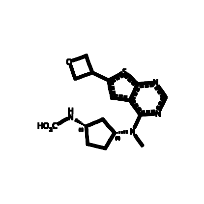 CN(c1ncnc2sc(C3COC3)cc12)[C@@H]1CC[C@H](NC(=O)O)C1